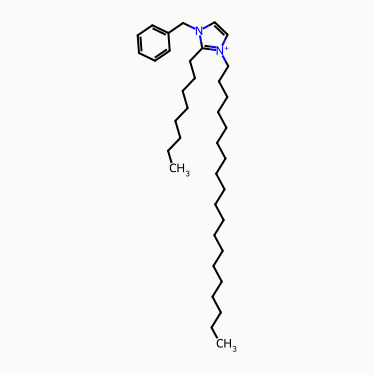 CCCCCCCCCCCCCCCCCCC[n+]1ccn(Cc2ccccc2)c1CCCCCCCC